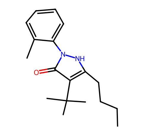 CCCCc1[nH]n(-c2ccccc2C)c(=O)c1C(C)(C)C